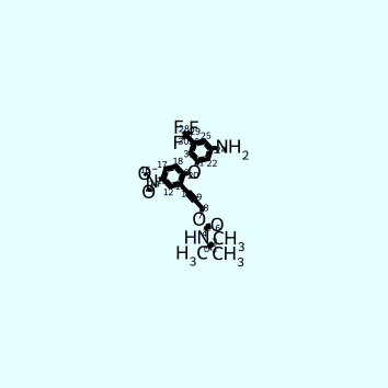 CC(C)(C)NC(=O)OCC#Cc1cc([N+](=O)[O-])ccc1Oc1cc(N)cc(C(F)(F)F)c1